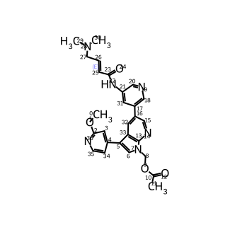 COc1cc(-c2cn(COC(C)=O)c3ncc(-c4cncc(NC(=O)/C=C/CN(C)C)c4)cc23)ccn1